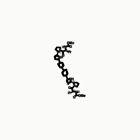 COC(=O)N[C@H](C(=O)N1CCC[C@H]1c1ncc(-c2ccc(-c3ccc(-c4ccc([C@H]5CCCN5C(=O)N(NC(=O)OC)C(C)C)[nH]4)cc3)cc2)[nH]1)C(C)C